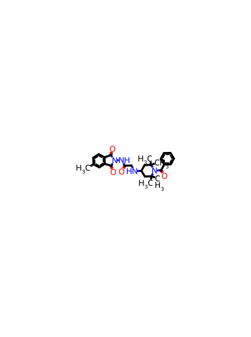 Cc1ccc2c(c1)C(=O)N(NC(=O)CNC1CC(C)(C)N(C(=O)c3ccccc3)C(C)(C)C1)C2=O